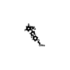 COCCO[C@H]1CC[C@](C)(N2CCC(n3c(=O)[nH]c4c(F)cc(F)cc43)CC2)CC1